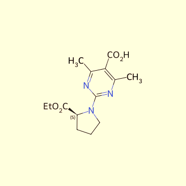 CCOC(=O)[C@@H]1CCCN1c1nc(C)c(C(=O)O)c(C)n1